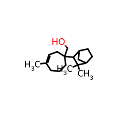 CC1=CCC(CO)(C2C3CCC(C3)C2(C)C)CCC1